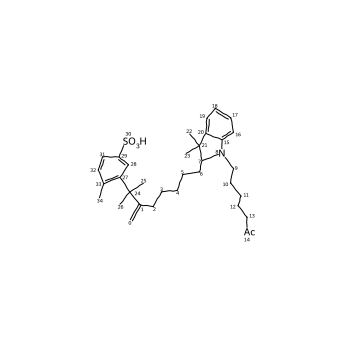 C=C(CCCCCC1N(CCCCCC(C)=O)c2ccccc2C1(C)C)C(C)(C)c1cc(S(=O)(=O)O)ccc1C